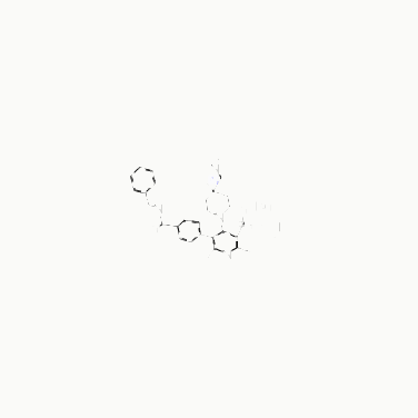 C/N=C/C1(C)CCN(c2c(-c3ccc(C(=O)NCc4ccccc4)cc3)c(C)nc(C)c2[C@H](OC(C)(C)C)C(=O)O)CC1